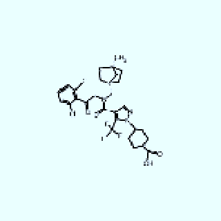 C[C@]12CC[C@](CN(CC(=O)c3c(Cl)cccc3Cl)C(=O)c3cnn(C4CCC(C(=O)O)CC4)c3C(F)(F)F)(CC1)C2